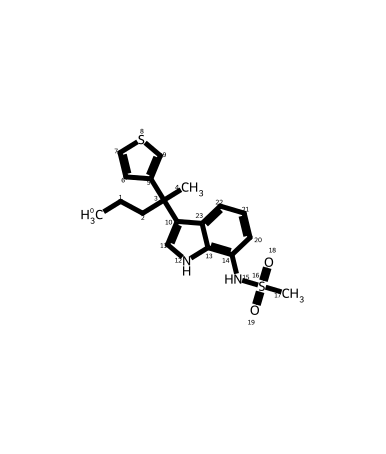 CCCC(C)(c1ccsc1)c1c[nH]c2c(NS(C)(=O)=O)cccc12